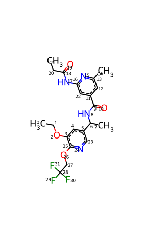 CCOc1cc(C(C)NC(=O)c2cc(C)nc(NC(=O)CC)c2)cnc1OCC(F)(F)F